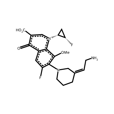 COc1c(N2CCC/C(=C/CN)C2)c(F)cc2c(=O)c(C(=O)O)cn([C@@H]3C[C@@H]3F)c12